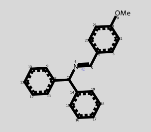 COc1ccc(/C=N/C(c2ccccc2)c2ccccc2)cc1